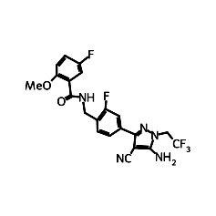 COc1ccc(F)cc1C(=O)NCc1ccc(-c2nn(CC(F)(F)F)c(N)c2C#N)cc1F